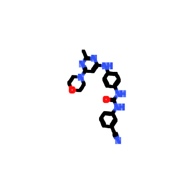 Cc1nc(Nc2ccc(NC(=O)Nc3cccc(C#N)c3)cc2)cc(N2CCOCC2)n1